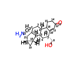 C[C@]12CC[C@H]3[C@@H](C[C@@H](CO)C4=CC(=O)CC[C@@H]43)[C@@H]1[C@@H]1C[C@@H]1[C@@H]2N